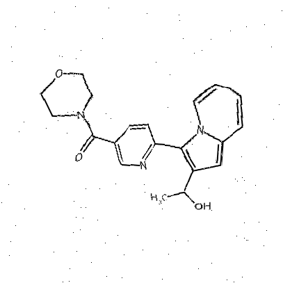 CC(O)c1cc2ccccn2c1-c1ccc(C(=O)N2CCOCC2)cn1